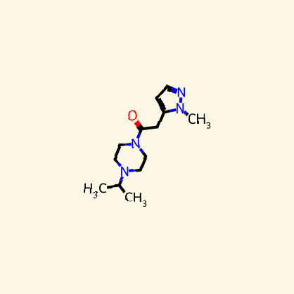 CC(C)N1CCN(C(=O)Cc2ccnn2C)CC1